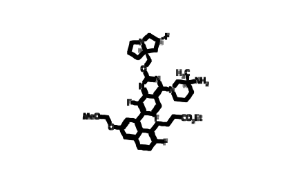 CCOC(=O)CCCc1c(F)ccc2cc(OCOC)cc(-c3c(F)cc4c(N5CCC[C@@](C)(N)C5)nc(OC[C@@]56CCCN5C[C@H](F)C6)nc4c3F)c12